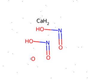 O=NO.O=NO.[CaH2].[O]